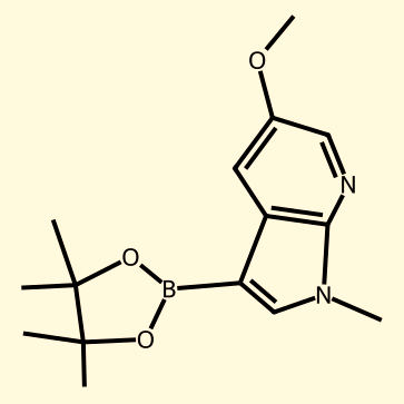 COc1cnc2c(c1)c(B1OC(C)(C)C(C)(C)O1)cn2C